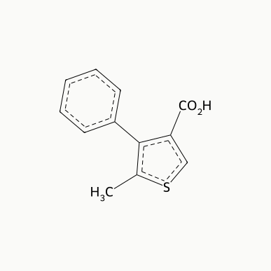 Cc1scc(C(=O)O)c1-c1ccccc1